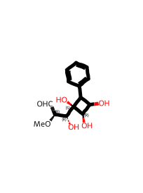 CO[C@@H](C=O)[C@@H](O)[C@]1(O)C(c2ccccc2)C(O)[C@H]1O